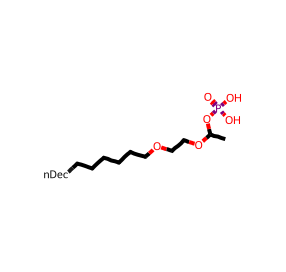 CCCCCCCCCCCCCCCCOCCOC(C)OP(=O)(O)O